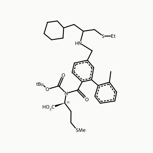 CCSCC(CC1CCCCC1)NCc1ccc(C(=O)N(C(=O)OC(C)(C)C)[C@@H](CCSC)C(=O)O)c(-c2ccccc2C)c1